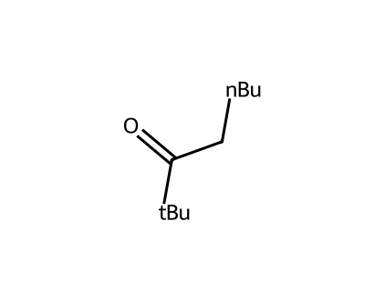 CCCCCC(=O)C(C)(C)C